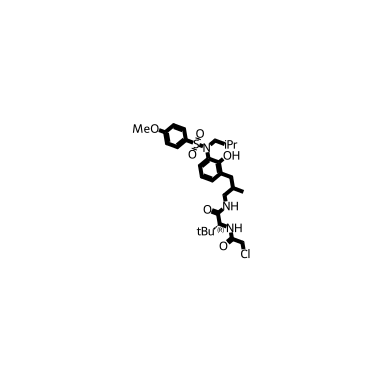 COc1ccc(S(=O)(=O)N(CC(C)C)c2cccc(CC(C)CNC(=O)[C@H](NC(=O)CCl)C(C)(C)C)c2O)cc1